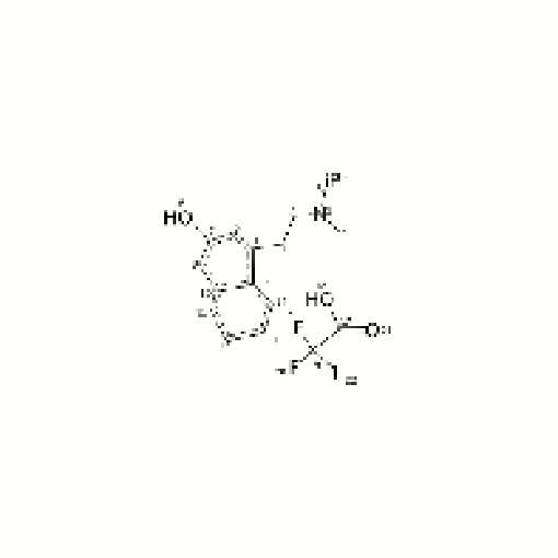 CC(C)N(C)CCc1cc(O)cc2ccccc12.O=C(O)C(F)(F)F